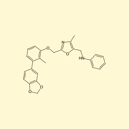 Cc1nc(COc2cccc(-c3ccc4c(c3)OCO4)c2C)oc1CNc1ccccc1